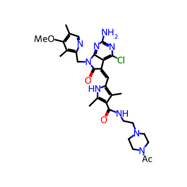 COc1c(C)cnc(CN2C(=O)C(=Cc3[nH]c(C)c(C(=O)NCCN4CCN(C(C)=O)CC4)c3C)c3c(Cl)nc(N)nc32)c1C